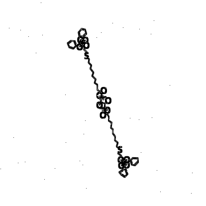 O=C(CCCCCCCCCCSCCOP(=O)(Oc1ccccc1)Oc1ccccc1)O[C@H]1COC2C1OC[C@H]2OC(=O)CCCCCCCCCCSCCOP(=O)(Oc1ccccc1)Oc1ccccc1